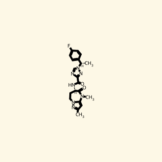 Cc1cc2n(n1)CC[C@H](NC(=O)c1ncn([C@@H](C)c3ccc(F)cc3)n1)C(=O)N2C